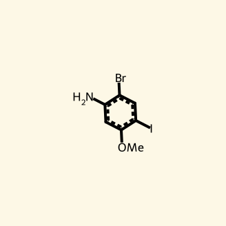 COc1cc(N)c(Br)cc1I